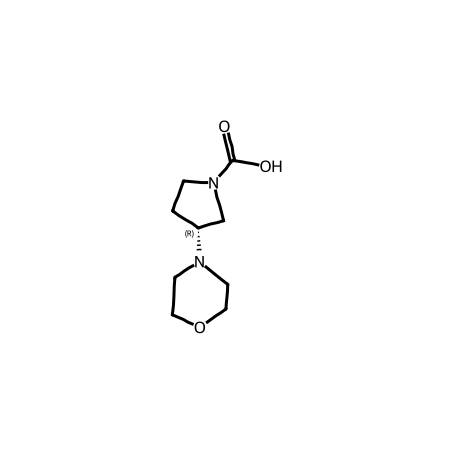 O=C(O)N1CC[C@@H](N2CCOCC2)C1